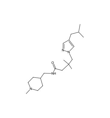 CC(C)Cc1cnn(CC(C)(C)CC(=O)NCC2CCN(C)CC2)c1